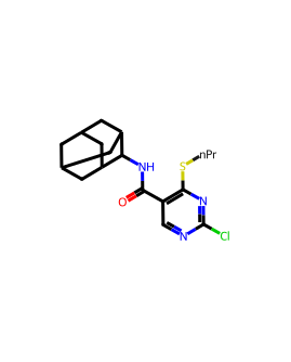 CCCSc1nc(Cl)ncc1C(=O)NC1C2CC3CC(C2)CC1C3